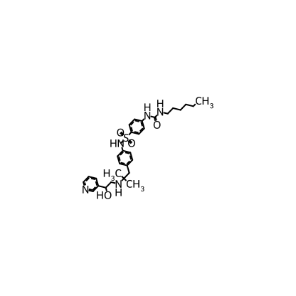 CCCCCCNC(=O)Nc1ccc(S(=O)(=O)Nc2ccc(CC(C)(C)NCC(O)c3cccnc3)cc2)cc1